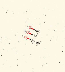 CC(=O)[O-].CC(=O)[O-].CC(=O)[O-].[Rh+3]